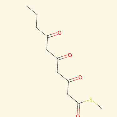 CCCC(=O)CC(=O)CC(=O)CC(=O)SC